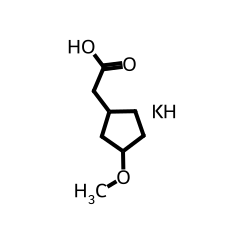 COC1CCC(CC(=O)O)C1.[KH]